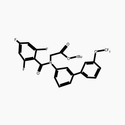 CC(C)(C)OC(=O)CN(C(=O)c1c(F)cc(F)cc1F)c1cccc(-c2cccc(OC(F)(F)F)c2)c1